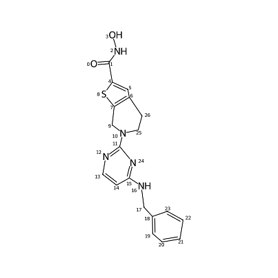 O=C(NO)c1cc2c(s1)CN(c1nccc(NCc3ccccc3)n1)CC2